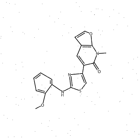 COc1ccccc1Nc1nc(-c2cc3ccoc3n(C)c2=O)cs1